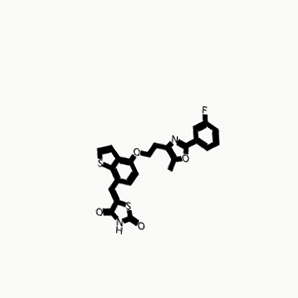 Cc1oc(-c2cccc(F)c2)nc1CCOc1ccc(C=C2SC(=O)NC2=O)c2sccc12